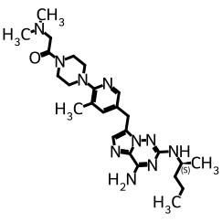 CCC[C@H](C)Nc1nc(N)c2ncc(Cc3cnc(N4CCN(C(=O)CN(C)C)CC4)c(C)c3)n2n1